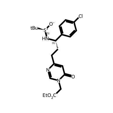 CCOC(=O)Cn1cnc(CC[C@H](N[S@+]([O-])C(C)(C)C)c2ccc(Cl)cc2)cc1=O